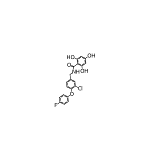 O=C(NCc1ccc(Oc2ccc(F)cc2)c(Cl)c1)c1c(O)cc(O)cc1O